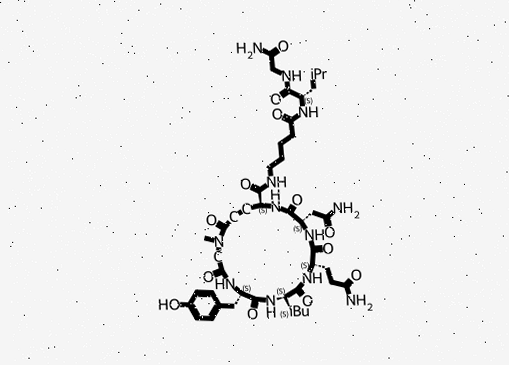 CC[C@H](C)[C@@H]1NC(=O)[C@H](Cc2ccc(O)cc2)NC(=O)CN(C)C(=O)CC[C@@H](C(=O)NCCCCC(=O)N[C@@H](CC(C)C)C(=O)NCC(N)=O)NC(=O)[C@H](CC(N)=O)NC(=O)[C@H](CCC(N)=O)NC1=O